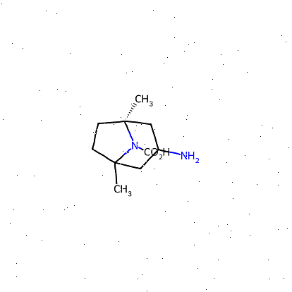 CC12CC[C@@](C)(CC(N)C1)N2C(=O)O